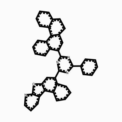 c1ccc(-c2nc(-c3cc4ccc5ccccc5c4c4ccccc34)nc(-c3cc4oc5ncccc5c4c4ccccc34)n2)cc1